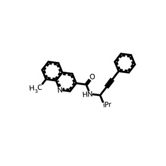 Cc1cccc2cc(C(=O)NC(C#Cc3ccccc3)C(C)C)cnc12